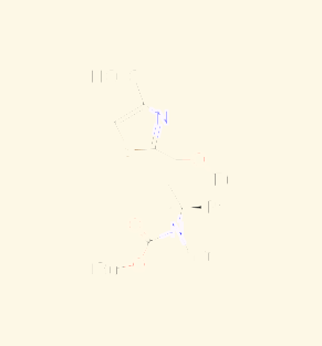 CCCN(C(=O)OC(C)(C)C)[C@@H](C[C@@H](OCC)c1nc(C(=O)O)cs1)C(C)C